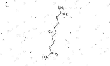 NC(=S)SCCCCCSC(N)=S.[Cu]